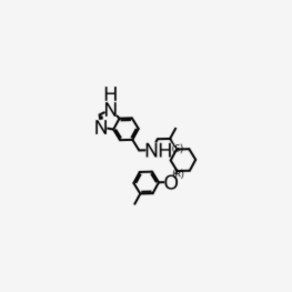 Cc1cccc(O[C@@H]2CCC[C@H](C(C)CNCc3ccc4[nH]cnc4c3)C2)c1